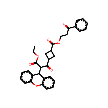 CCOC(=O)C(C(=O)C1CC(C(=O)OCCC(=O)c2ccccc2)C1)C1c2ccccc2Oc2ccccc21